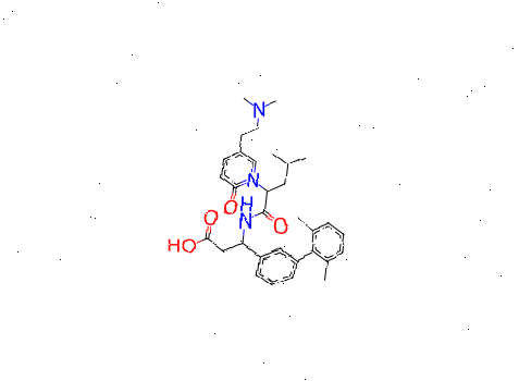 Cc1cccc(C)c1-c1cccc(C(CC(=O)O)NC(=O)C(CC(C)C)n2cc(CCN(C)C)ccc2=O)c1